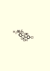 COc1cccc(C(O)N(C(=O)O)c2ccc(Cl)cc2F)c1OC